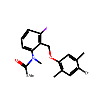 CCc1cc(C)c(OCc2c(I)cccc2N(C)C(=O)SC)cc1C